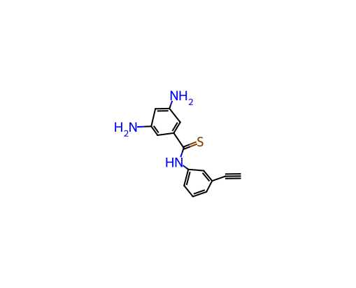 C#Cc1cccc(NC(=S)c2cc(N)cc(N)c2)c1